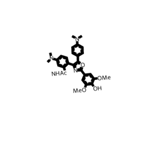 COc1cc(-c2nc(-c3ccc(N(C)C)cc3NC(C)=O)c(-c3ccc(N(C)C)cc3)o2)cc(OC)c1O